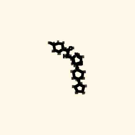 CC1CCN(C(=O)Nc2cc(N3CCN(C4CCCC4)CC3)ncn2)CC1